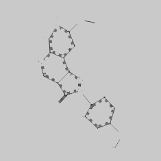 COc1ccc(-n2nc3c4cc(OC)ncc4[nH]cc-3c2=O)cc1